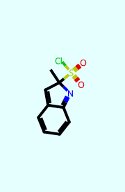 CC1(S(=O)(=O)Cl)C=c2ccccc2=N1